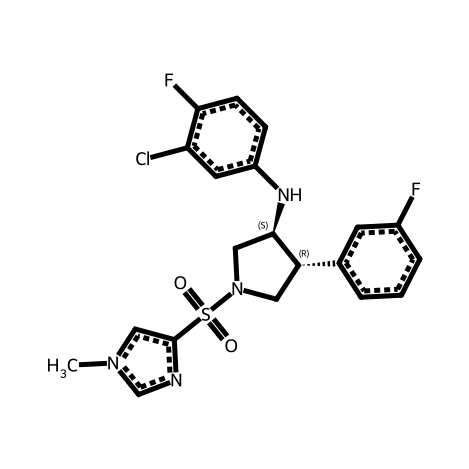 Cn1cnc(S(=O)(=O)N2C[C@@H](Nc3ccc(F)c(Cl)c3)[C@H](c3cccc(F)c3)C2)c1